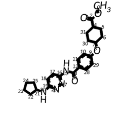 COC(=O)C1CCC(Oc2ccc(C(=O)Nc3ccc(NC4CCCC4)nn3)cc2)CC1